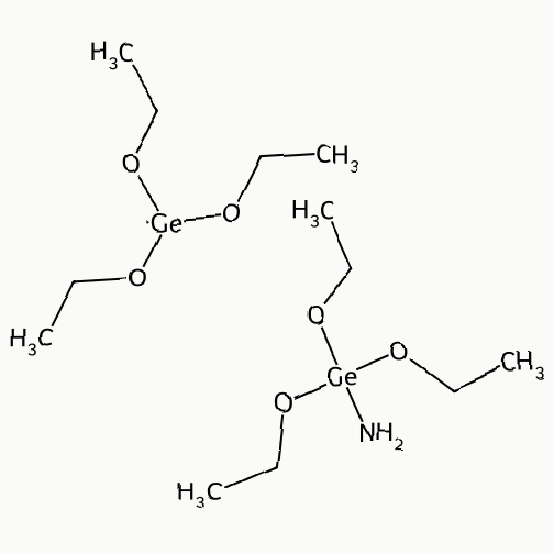 CC[O][Ge]([NH2])([O]CC)[O]CC.CC[O][Ge]([O]CC)[O]CC